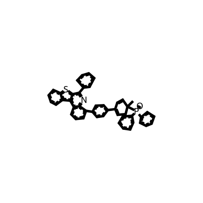 CC1(P(=O)(c2ccccc2)c2ccccc2)C=CC(c2ccc(-c3cccc4c3nc(-c3ccccc3)c3sc5ccccc5c34)cc2)=CC1